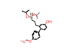 COCOc1ccc(-c2ccc(O)cc2CCC[SiH](OC(C)C)OC(C)C)cc1